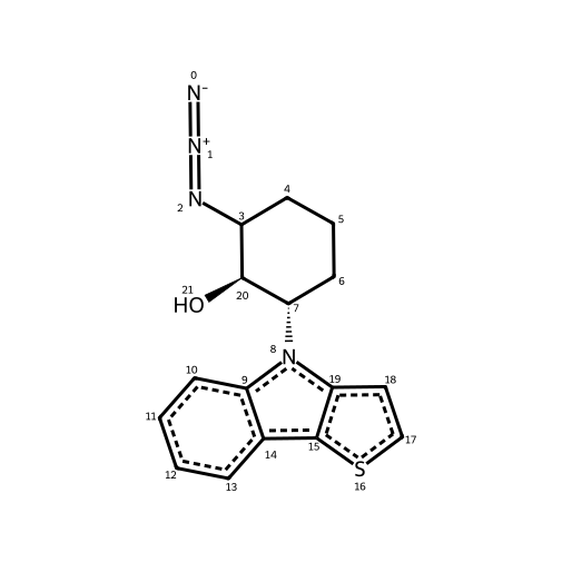 [N-]=[N+]=NC1CCC[C@H](n2c3ccccc3c3sccc32)[C@H]1O